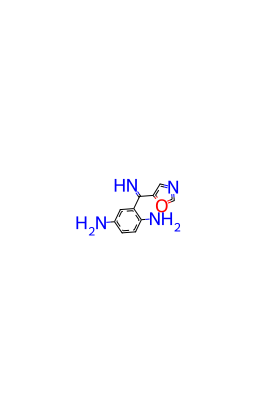 N=C(c1cnco1)c1cc(N)ccc1N